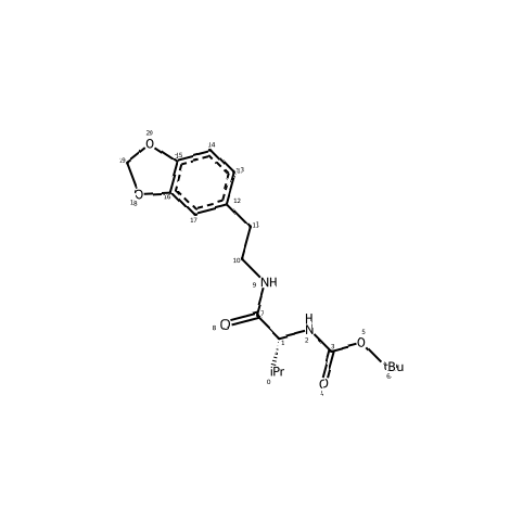 CC(C)[C@@H](NC(=O)OC(C)(C)C)C(=O)NCCc1ccc2c(c1)OCO2